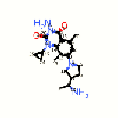 Cc1cc(N2CCC(C(C)N)C2)c(C)c2c1c(=O)n(N)c(=O)n2C1CC1